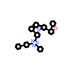 c1ccc(-c2ccc(-c3nc(-c4ccccc4)nc(-c4ccc(-n5c6ccccc6c6ccc(-c7cccc8oc9ccccc9c78)cc65)c(-c5ccccc5)c4)n3)cc2)cc1